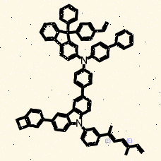 C=C/C(C)=C/C=C(\C)c1cccc(-n2c3ccc(-c4ccc(N(c5ccc(-c6ccccc6)cc5)c5ccc6c(c5)C(c5ccccc5)(c5ccc(C=C)cc5)c5ccccc5-6)cc4)cc3c3cc(-c4ccc5c(c4)CC5)ccc32)c1